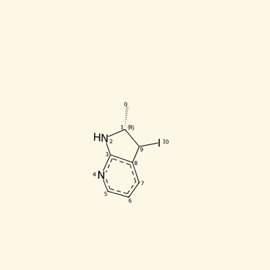 C[C@H]1Nc2ncccc2C1I